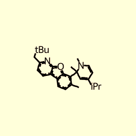 Cc1ccc2c(oc3nc(CC(C)(C)C)ccc32)c1C1(C)C=C(C(C)C)C=CN1C